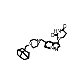 O=C1CCN(c2cnn3ccc(CN4CCN(CC56CC7CC(CC(C7)C5)C6)CC4)cc23)C(=O)N1